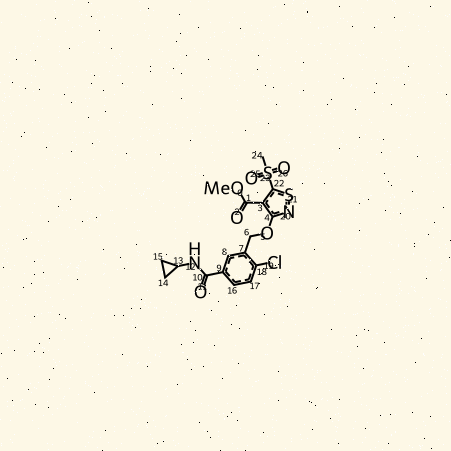 COC(=O)c1c(OCc2cc(C(=O)NC3CC3)ccc2Cl)nsc1S(C)(=O)=O